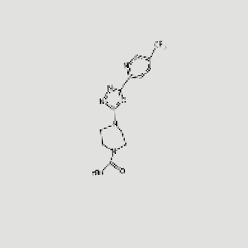 CC(C)(C)C(=O)N1CCN(c2nnc(-c3ccc(C(F)(F)F)cn3)o2)CC1